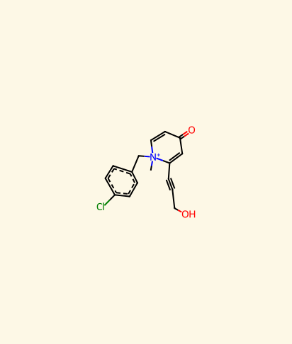 C[N+]1(Cc2ccc(Cl)cc2)C=CC(=O)C=C1C#CCO